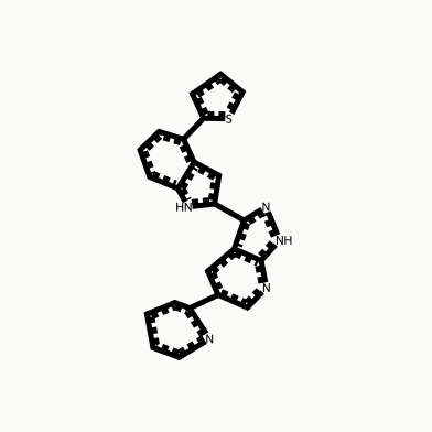 c1ccc(-c2cnc3[nH]nc(-c4cc5c(-c6cccs6)cccc5[nH]4)c3c2)nc1